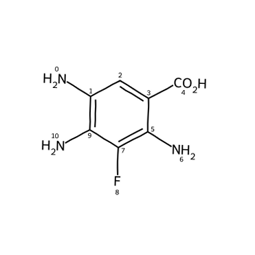 Nc1cc(C(=O)O)c(N)c(F)c1N